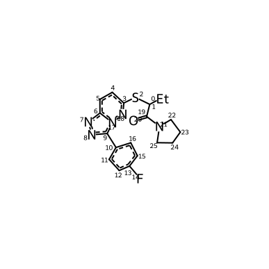 CCC(Sc1ccc2nnc(-c3ccc(F)cc3)n2n1)C(=O)N1CCCC1